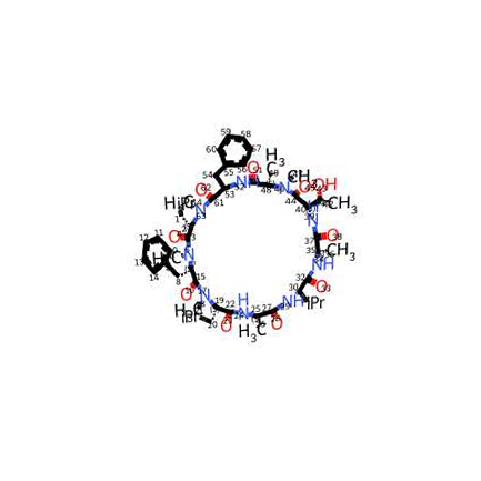 CC(C)C[C@H]1C(=O)N(C)[C@@H](Cc2ccccc2)C(=O)N(C)[C@@H](CC(C)C)C(=O)N[C@@H](C)C(=O)NC(C(C)C)C(=O)N[C@@H](C)C(=O)N[C@@H]([C@@H](C)O)C(=O)N(C)[C@@H](C)C(=O)NC(Cc2ccccc2)C(=O)N1C